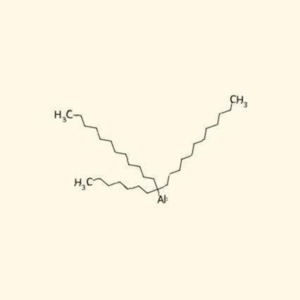 CCCCCCCCCCCC[C]([Al])(CCCCCCC)CCCCCCCCCCCC